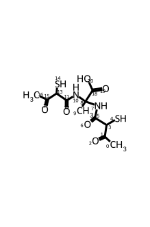 CC(=O)C(S)C(=O)NC(C)(NC(=O)C(S)C(C)=O)C(=O)O